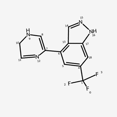 FC(F)(F)c1cc(C2=CNCC=N2)c2cn[nH]c2c1